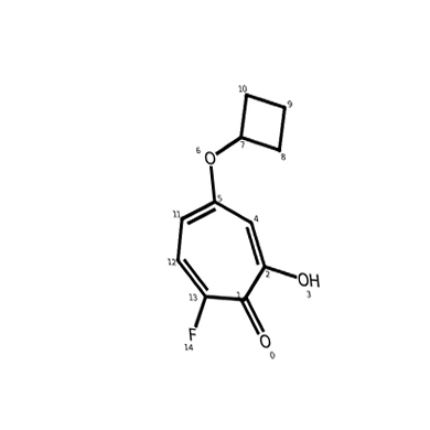 O=c1c(O)cc(OC2CCC2)ccc1F